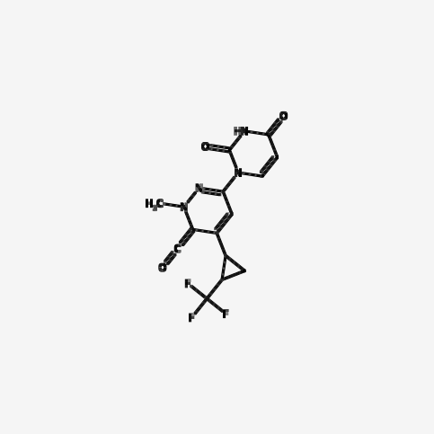 CN1N=C(n2ccc(=O)[nH]c2=O)C=C(C2CC2C(F)(F)F)C1=C=O